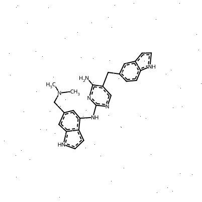 CN(C)Cc1cc(Nc2ncc(Cc3ccc4[nH]ccc4c3)c(N)n2)c2cc[nH]c2c1